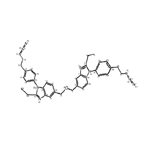 CCc1nc2cc(COCc3ccc4c(c3)nc(CC)n4-c3ccc(CCN=[N+]=[N-])cc3)ccc2n1-c1ccc(CCN=[N+]=[N-])cc1